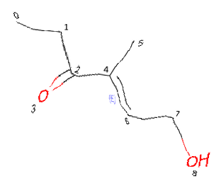 CCC(=O)/C(C)=C/CO